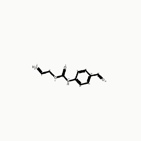 C=CCOC(=O)Nc1ccc(C=O)cc1